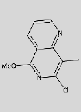 COc1nc(Cl)c(C)c2ncccc12